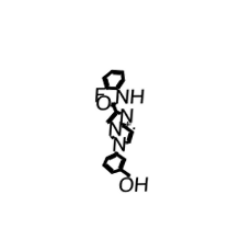 O=C(Nc1ccccc1F)C1=C[N+]2CN(c3cccc(CO)c3)C=CC2=N1